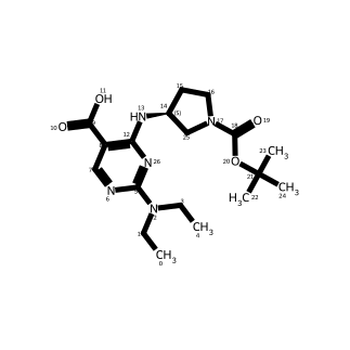 CCN(CC)c1ncc(C(=O)O)c(N[C@H]2CCN(C(=O)OC(C)(C)C)C2)n1